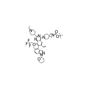 C=Cc1cc2c(N3CCC4(CC3)CN(C(=O)OC(C)(C)C)C4)nc(C3CCN(CC)CC3)nc2c(OCC(F)(F)F)c1-c1c(C)ccc2c1cnn2C1CCCCO1